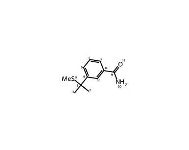 CSC(C)(C)c1cccc(C(N)=O)c1